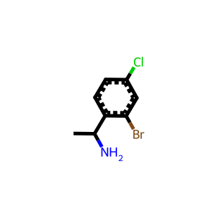 CC(N)c1ccc(Cl)cc1Br